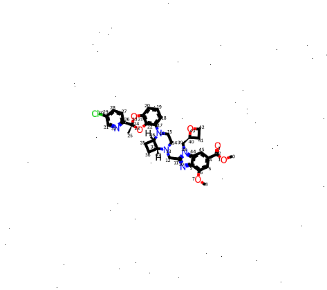 COC(=O)c1cc(OC)c2nc(CN3CCN(c4cccc5c4O[C@](C)(c4ccc(Cl)cn4)O5)[C@H]4CC[C@H]43)n(C[C@@H]3CCO3)c2c1